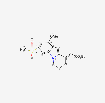 CCOC(=O)C=C1CCCn2c1cc1c(OC)cc(S(C)(=O)=O)cc12